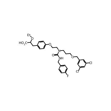 CCOC(Cc1ccc(OCCN(CCCOCc2cc(Cl)cc(Cl)c2)C(=O)NCc2ccc(F)cc2)cc1)C(=O)O